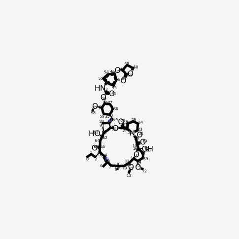 CCC[C@@H]1/C=C(\C)C[C@H](C)C[C@H](OC)C2O[C@@](O)(C(=O)C(=O)N3CCCC[C@H]3C(=O)O[C@H](/C(C)=C/[C@@H]3CC[C@@H](OC(=O)Nc4ccc(OC5CCOC5=O)cc4)[C@H](OC)C3)[C@H](C)[C@@H](O)CC1=O)[C@H](C)C[C@@H]2OC